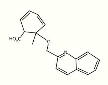 CC1(OCc2ccc3ccccc3n2)C=CC=CC1C(=O)O